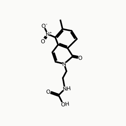 Cc1ccc2c(=O)n(CCNC(=O)O)ccc2c1[N+](=O)[O-]